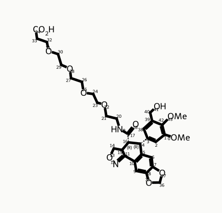 COc1cc([C@@H]2c3cc4c(cc3C3=NOCC3[C@@H]2C(=O)NCCOCCOCCOCCOCCC(=O)O)OCO4)cc(CO)c1OC